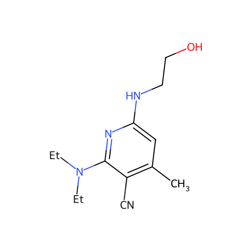 CCN(CC)c1nc(NCCO)cc(C)c1C#N